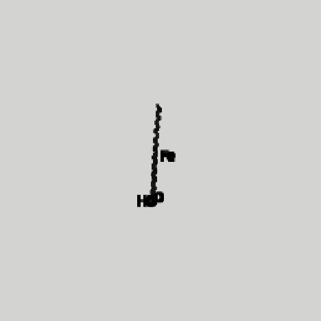 CCCCCCCCCCCCCCCCCCCCCC(=O)O.[Fe]